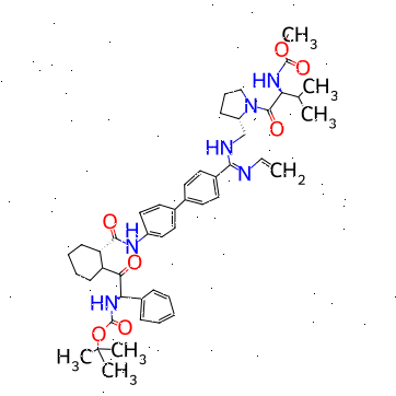 C=C/N=C(\NC[C@@H]1CCCN1C(=O)[C@@H](NC(=O)OC)C(C)C)c1ccc(-c2ccc(NC(=O)[C@H]3CCCCC3C(=O)[C@H](NC(=O)OC(C)(C)C)c3ccccc3)cc2)cc1